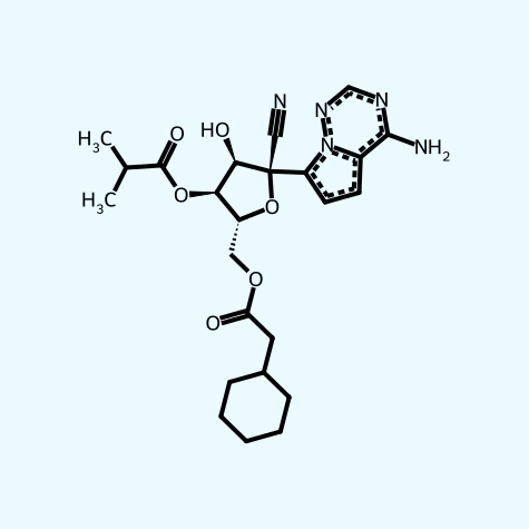 CC(C)C(=O)O[C@H]1[C@@H](O)[C@](C#N)(c2ccc3c(N)ncnn23)O[C@@H]1COC(=O)CC1CCCCC1